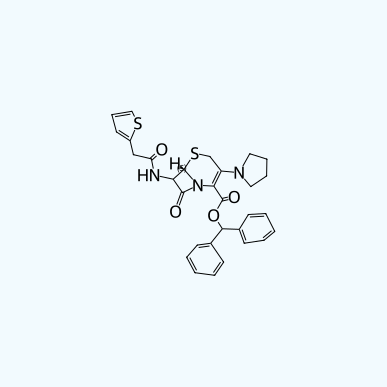 O=C(Cc1cccs1)NC1C(=O)N2C(C(=O)OC(c3ccccc3)c3ccccc3)=C(N3CCCC3)CS[C@@H]12